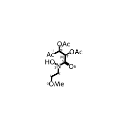 COCCN(O)C(=O)[C@H](OC(C)=O)[C@H](OC(C)=O)C(C)=O